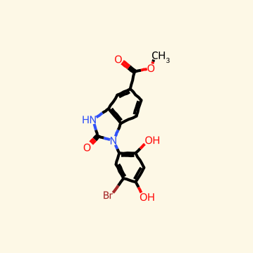 COC(=O)c1ccc2c(c1)[nH]c(=O)n2-c1cc(Br)c(O)cc1O